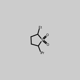 CCC1CCC(C(C)C)S1(=O)=O